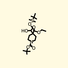 CCOC(=O)C1(C(O)CO[Si](C)(C)C(C)(C)C)CCN(C(=O)OC(C)(C)C)CC1